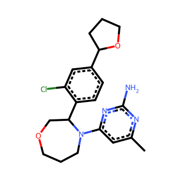 Cc1cc(N2CCCOCC2c2ccc(C3CCCO3)cc2Cl)nc(N)n1